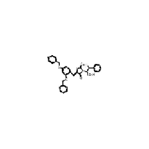 CC(c1ccccc1)C(C(=O)O)N1C(=O)C(=Cc2ccc(OCc3ccccc3)cc2OCc2ccccc2)SC1=S